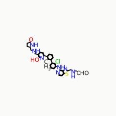 Cc1c(-c2ccc(CNCC3CCC(=O)N3)c(O)n2)cccc1-c1cccc(Nc2nccc3sc(CNCC=O)nc23)c1Cl